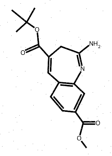 COC(=O)c1ccc2c(c1)N=C(N)CC(C(=O)OC(C)(C)C)=C2